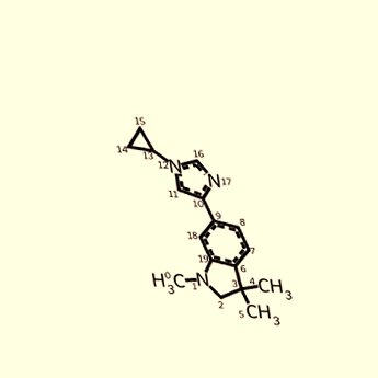 CN1CC(C)(C)c2ccc(-c3cn(C4CC4)cn3)cc21